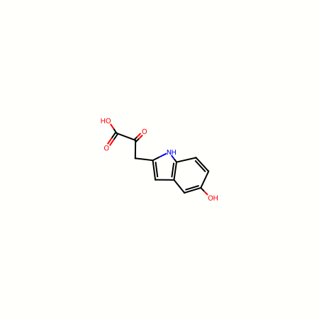 O=C(O)C(=O)Cc1cc2cc(O)ccc2[nH]1